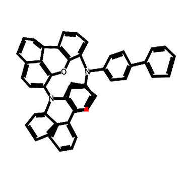 c1ccc(-c2ccc(N(c3ccc(-c4ccccc4)cc3)c3cccc4c3Oc3c(N(c5ccccc5)c5ccccc5)ccc5cccc-4c35)cc2)cc1